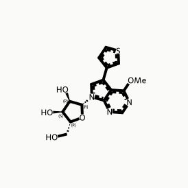 COc1ncnc2c1c(-c1ccsc1)cn2[C@@H]1O[C@H](CO)[C@@H](O)[C@H]1O